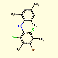 Cc1c(Cl)c(Nc2c([N+](=O)[O-])cc([N+](=O)[O-])cc2C(F)(F)F)c(Cl)c(C)c1Br